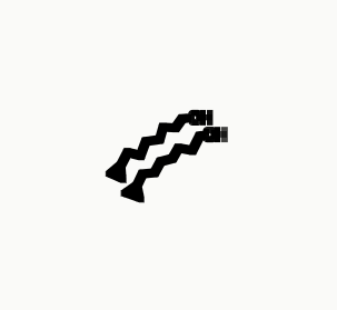 OCCCCCCCC1=CC1.OCCCCCCCC1=CC1